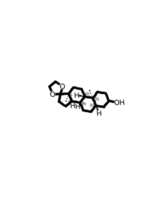 C[C@]12CCC(O)C[C@@H]1CC[C@@H]1[C@@H]2CC[C@@]2(C)[C@H]1CCC21OCCO1